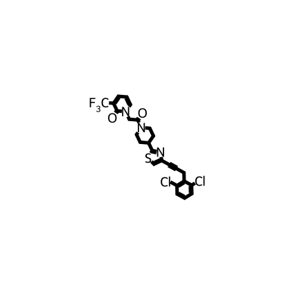 O=C(Cn1cccc(C(F)(F)F)c1=O)N1CCC(c2nc(C#CCc3c(Cl)cccc3Cl)cs2)CC1